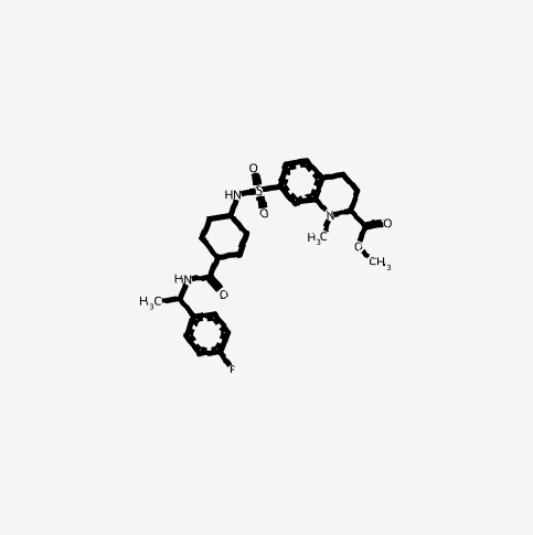 COC(=O)C1CCc2ccc(S(=O)(=O)NC3CCC(C(=O)NC(C)c4ccc(F)cc4)CC3)cc2N1C